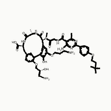 Cc1nc(-c2ccc(OCCC(C)(C)C)cc2)nc(N)c1C(=O)NCC(=O)N(C)[C@@H]1C(=O)N[C@@H](C)C(=O)N[C@H](C(=O)O)Cc2ccc(OC[C@H](O)CN)c(c2)-c2cc1cc(OCCCN)c2O